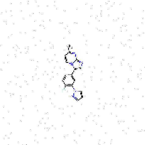 Fc1ccc(-c2cnc3nc(C(F)(F)F)ccn23)cc1-n1cccn1